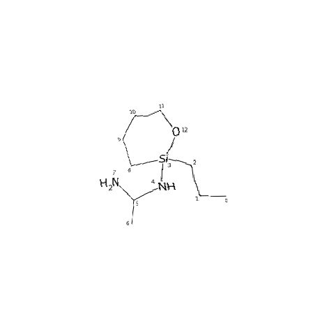 CCC[Si]1(NC(C)N)CCCCO1